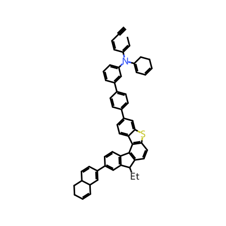 C#C/C=C\C(=C/C)N(C1=CC=CCC1)c1cccc(-c2ccc(-c3ccc4c(c3)sc3ccc5c(c34)-c3ccc(C4=CC6C=CCCC6C=C4)cc3C5CC)cc2)c1